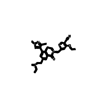 CCOc1cc(CN2CCc3c(cc(CCN(C)CC)cc3-c3cn(C)nc3C)C2=O)ncc1C#N